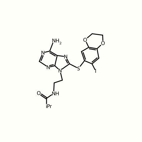 CC(C)C(=O)NCCn1c(Sc2cc3c(cc2I)OCCO3)nc2c(N)ncnc21